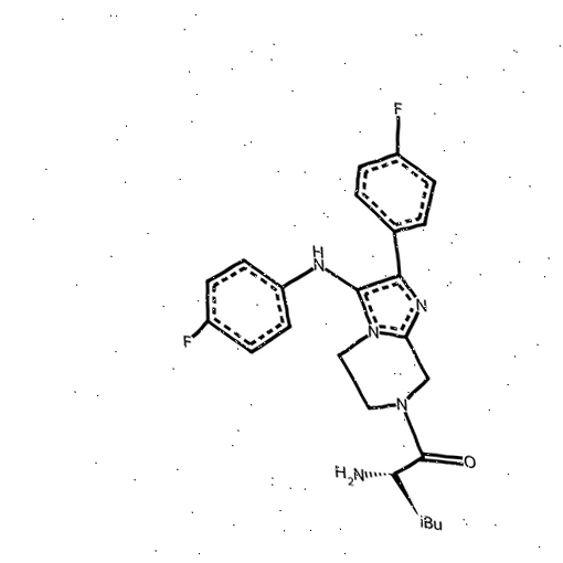 CC[C@H](C)[C@H](N)C(=O)N1CCn2c(nc(-c3ccc(F)cc3)c2Nc2ccc(F)cc2)C1